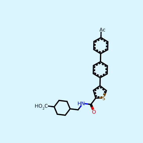 CC(=O)c1ccc(-c2ccc(-c3csc(C(=O)NCC4CCC(C(=O)O)CC4)c3)cc2)cc1